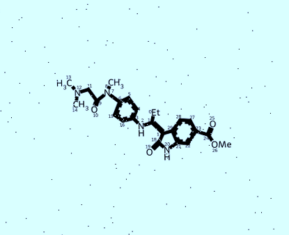 CC/C(Nc1ccc(N(C)C(=O)CN(C)C)cc1)=C1/C(=O)Nc2cc(C(=O)OC)ccc21